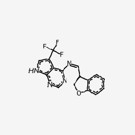 FC(F)(F)c1c[nH]c2ncnc(/N=C\C3COc4ccccc43)c12